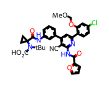 COCOc1cc(Cl)ccc1-c1cc(-c2cccc(NC(=O)C3(N(C(=O)O)C(C)(C)C)CC3)c2)c(C#N)c(NC(=O)c2ccco2)n1